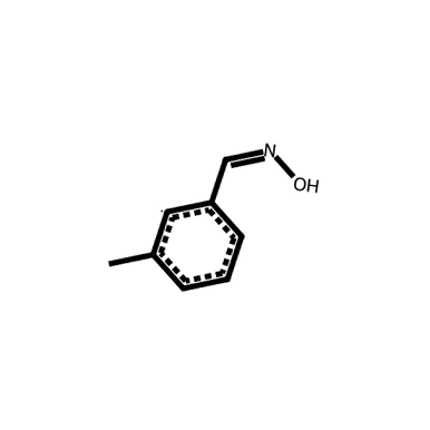 Cc1[c]c(/C=N\O)ccc1